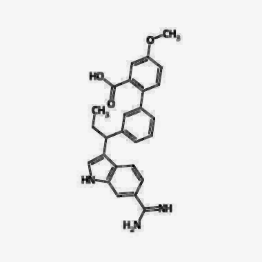 CCC(c1cccc(-c2ccc(OC)cc2C(=O)O)c1)c1c[nH]c2cc(C(=N)N)ccc12